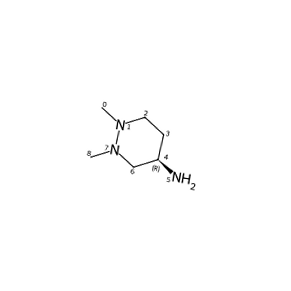 CN1CC[C@@H](N)CN1C